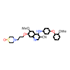 COc1cc2c(Nc3ccc(Oc4ccccc4OC)cc3)c(C#N)cnc2cc1OCCCN1CC[S+]([O-])CC1